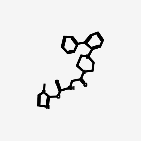 Cn1ccnc1OC(=O)NCC(=O)N1CCN(c2ccccc2-c2ccccc2)CC1